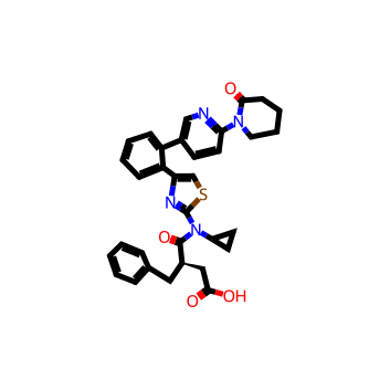 O=C(O)C[C@@H](Cc1ccccc1)C(=O)N(c1nc(-c2ccccc2-c2ccc(N3CCCCC3=O)nc2)cs1)C1CC1